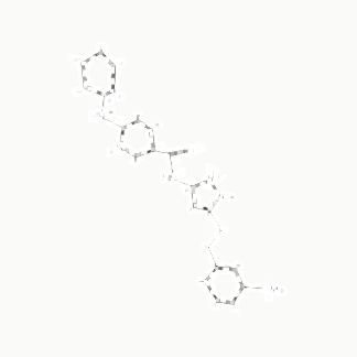 COc1cccc(CCc2cc(NC(=O)c3ccc(Nc4ccccc4)nc3)[nH]n2)c1